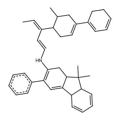 C/C=C(\C=C\NC1=C(c2ccccc2)C=C2C3C=CC=CC3C(C)(C)C2C1)C1CC=C(C2=CC=CCC2)CC1C